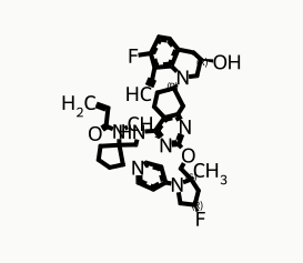 C#Cc1c(F)ccc2c1N([C@@H]1CCc3c(nc(OC[C@]4(C)C[C@@H](F)CN4c4ccncc4)nc3NCC3(N(C)C(=O)C=C)CCCC3)C1)C[C@H](O)C2